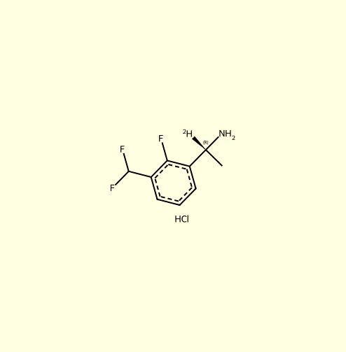 Cl.[2H][C@](C)(N)c1cccc(C(F)F)c1F